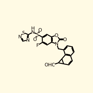 O=CC1C2C=Cc3cccc(Cn4c(=O)oc5cc(S(=O)(=O)Nc6ncns6)c(F)cc54)c3C12